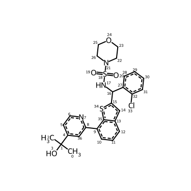 CC(C)(O)c1ccnc(-c2cccc3cc(C(NS(=O)(=O)N4CCOCC4)c4ccccc4Cl)sc23)c1